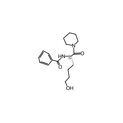 O=C(N[C@@H](CCCCO)C(=O)N1CCCCC1)c1ccccc1